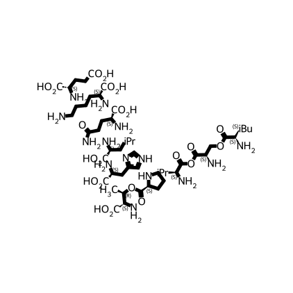 CC(C)C[C@H](N)C(=O)O.CC[C@H](C)[C@H](N)C(=O)OC[C@H](N)C(=O)OC(=O)[C@@H](N)C(C)C.C[C@@H](OC(=O)[C@@H]1CCCN1)[C@H](N)C(=O)O.NC(=O)CC[C@H](N)C(=O)O.NCCCC[C@H](N)C(=O)O.N[C@@H](CCC(=O)O)C(=O)O.N[C@@H](Cc1c[nH]cn1)C(=O)O